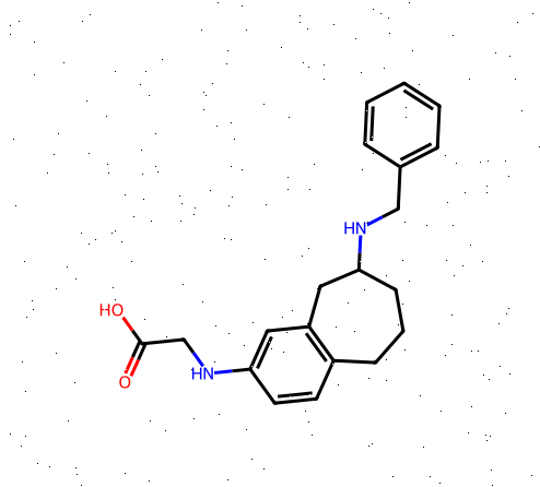 O=C(O)CNc1ccc2c(c1)CC(NCc1ccccc1)CCC2